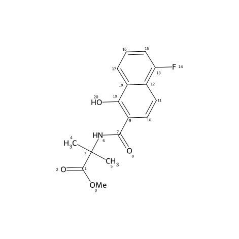 COC(=O)C(C)(C)NC(=O)c1ccc2c(F)cccc2c1O